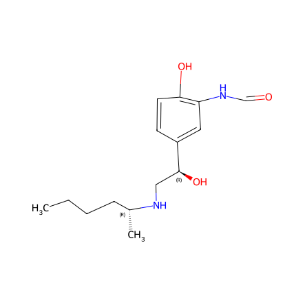 CCCC[C@@H](C)NC[C@H](O)c1ccc(O)c(NC=O)c1